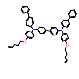 C=CCCCOc1ccc(N(c2ccc(-c3ccccc3)cc2)c2ccc(-c3ccc(N(c4ccc(OCCCC=C)cc4)c4ccc(-c5ccccc5)cc4)cc3)cc2)cc1